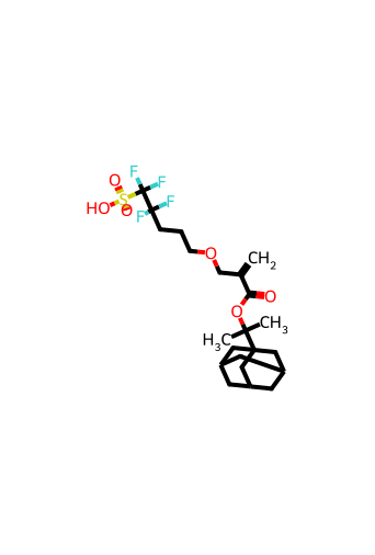 C=C(COCCCC(F)(F)C(F)(F)S(=O)(=O)O)C(=O)OC(C)(C)C12CC3CC(CC(C3)C1)C2